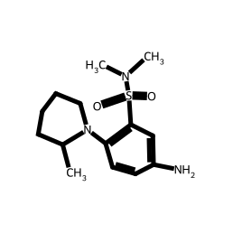 CC1CCCCN1c1ccc(N)cc1S(=O)(=O)N(C)C